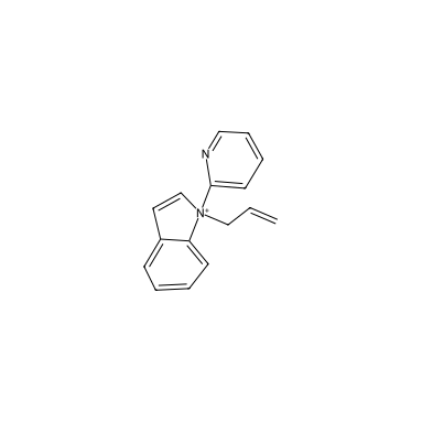 C=CC[N+]1(c2ccccn2)C=Cc2ccccc21